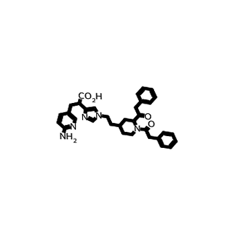 Nc1ccc(CC(C(=O)O)c2cn(CCC3CCN(C(=O)Cc4ccccc4)C(C(=O)Cc4ccccc4)C3)cn2)cn1